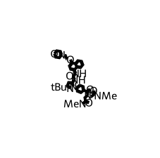 CNC(=O)CN(CC(=O)NC)C(=O)c1ccc(-n2nc(C(C)(C)C)cc2NC(=O)Nc2ccc(OCCN3CCOCC3)c3ccccc23)cc1